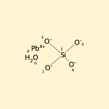 O.[O-][Si]([O-])([O-])[O-].[Pb+4]